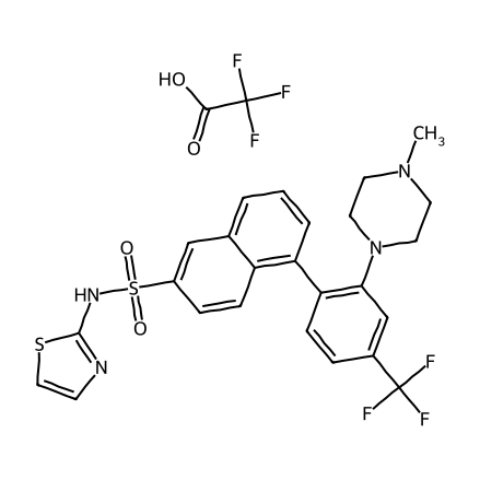 CN1CCN(c2cc(C(F)(F)F)ccc2-c2cccc3cc(S(=O)(=O)Nc4nccs4)ccc23)CC1.O=C(O)C(F)(F)F